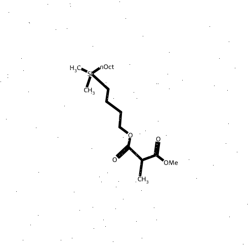 CCCCCCCC[Si](C)(C)CCCCOC(=O)C(C)C(=O)OC